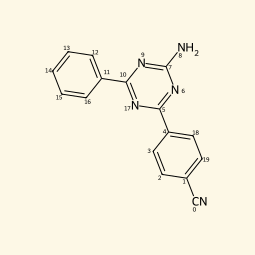 N#Cc1ccc(-c2nc(N)nc(-c3ccccc3)n2)cc1